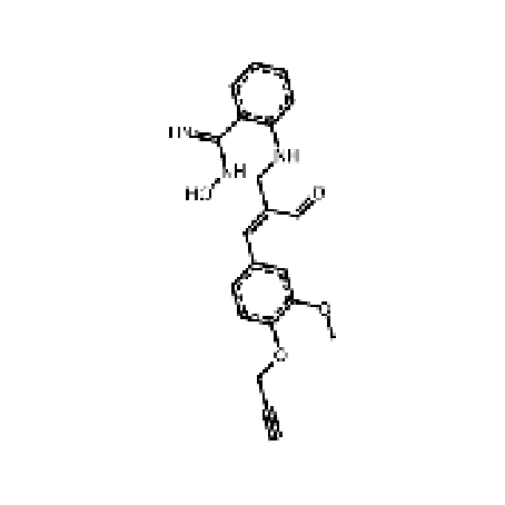 C#CCOc1ccc(/C=C(\C=O)CNc2ccccc2C(=N)NO)cc1OC